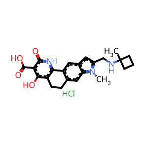 Cl.Cn1c(CNC2(C)CCC2)cc2cc3c(cc21)CCc1c-3[nH]c(=O)c(C(=O)O)c1O